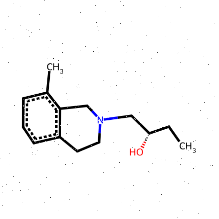 CC[C@H](O)CN1CCc2cccc(C)c2C1